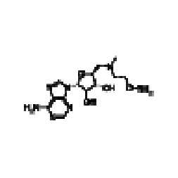 CN(CCON)C[C@@H]1O[C@@H](n2cnc3c(N)ncnc32)C(O)[C@H]1O